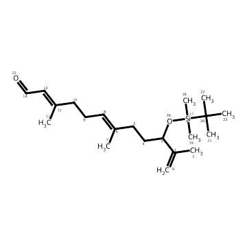 C=C(C)C(CC/C(C)=C/CC/C(C)=C/C=O)O[Si](C)(C)C(C)(C)C